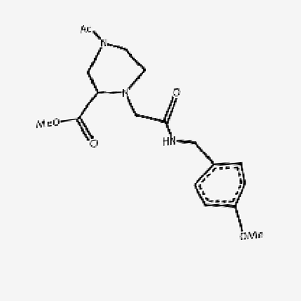 COC(=O)C1CN(C(C)=O)CCN1CC(=O)NCc1ccc(OC)cc1